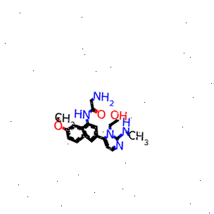 CNC1N=CC=C(c2cc(NC(=O)CN)c3cc(OC)ccc3c2)N1CCO